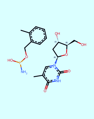 Cc1ccccc1COP(N)O.Cc1cn([C@H]2C[C@H](O)[C@@H](CO)O2)c(=O)[nH]c1=O